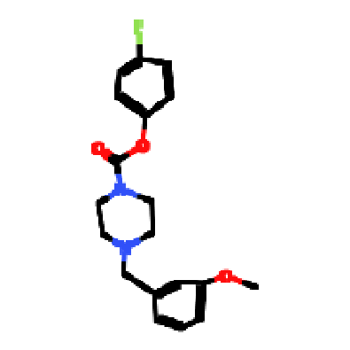 COc1cccc(CN2CCN(C(=O)Oc3ccc(F)cc3)CC2)c1